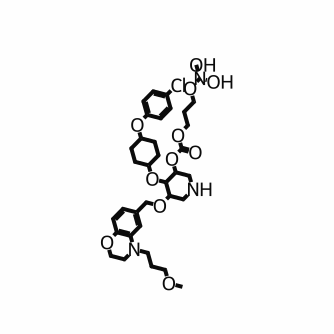 COCCCN1CCOc2ccc(COC3CNCC(OC(=O)OCCCON(O)O)C3OC3CCC(Oc4ccc(Cl)cc4)CC3)cc21